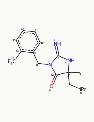 CC(C)CC1(C)NC(=N)N(Cc2ccccc2C(F)(F)F)C1=O